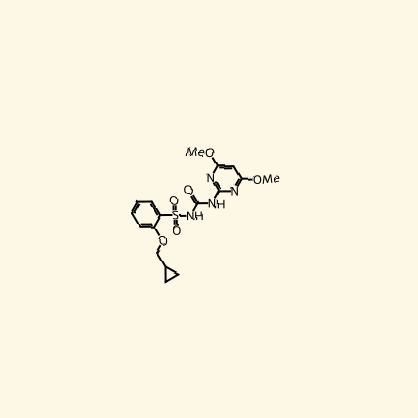 COc1cc(OC)nc(NC(=O)NS(=O)(=O)c2ccccc2OCC2CC2)n1